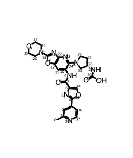 Cc1cc(-c2nc(C(=O)Nc3cc4oc(N5CCOCC5)nc4nc3N3CC[C@H](NC(=O)O)C3)co2)ccn1